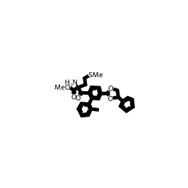 COC(=O)[C@](N)(CCSC)C(=O)c1ccc(C2OCC(c3ccccc3)O2)cc1-c1ccccc1C